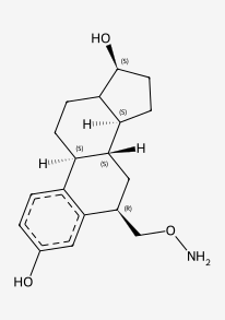 NOC[C@@H]1C[C@@H]2[C@H](CCC3[C@H]2CC[C@@H]3O)c2ccc(O)cc21